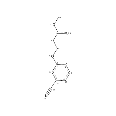 COC(=O)CCOc1cccc(C#N)c1